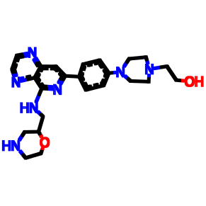 OCCN1CCN(c2ccc(-c3cc4nccnc4c(NCC4CNCCO4)n3)cc2)CC1